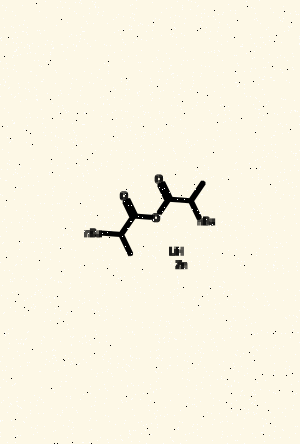 CCCCC(C)C(=O)OC(=O)C(C)CCCC.[LiH].[Zn]